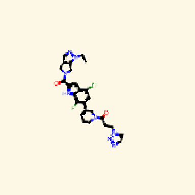 CCn1ncc2c1CN(C(=O)c1cc3c(Cl)cc(C4=CCCN(C(=O)CCn5ccnn5)C4)c(F)c3[nH]1)C2